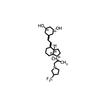 CC(CN1CCC(C(F)(F)F)C1)[C@H]1CC[C@H]2/C(=C/C=C3C[C@@H](O)C[C@H](O)C3)CCC[C@]12C